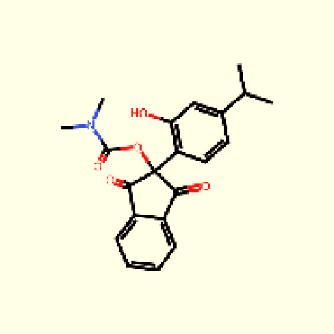 CC(C)c1ccc(C2(OC(=O)N(C)C)C(=O)c3ccccc3C2=O)c(O)c1